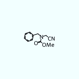 COC(=O)N(CC#N)Cc1ccccc1